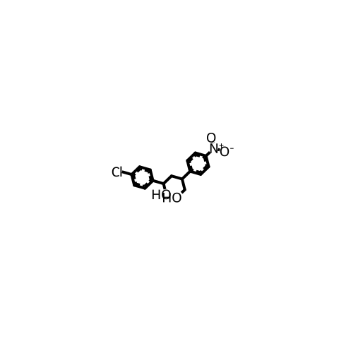 O=[N+]([O-])c1ccc(C(CO)CC(O)c2ccc(Cl)cc2)cc1